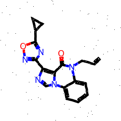 C=CCn1c(=O)c2c(-c3noc(C4CC4)n3)ncn2c2ccccc21